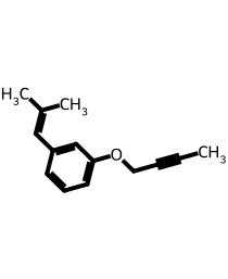 CC#CCOc1cccc(C=C(C)C)c1